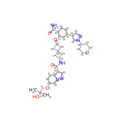 CC(C)(O)COc1ccc2c(C(=O)NC3CC4(C3)CC(Oc3cc(-c5cnn(C6CCOCC6)c5)ccc3C(N)=O)C4)cnn2c1